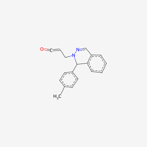 Cc1ccc(C2c3ccccc3C=NN2CC=C=O)cc1